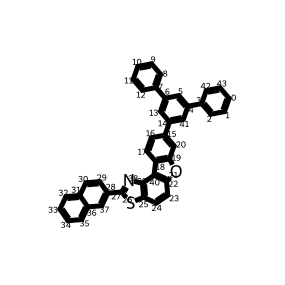 c1ccc(-c2cc(-c3ccccc3)cc(-c3ccc4c(c3)oc3ccc5sc(-c6ccc7ccccc7c6)nc5c34)c2)cc1